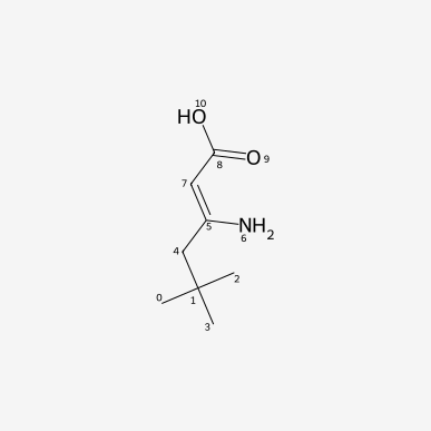 CC(C)(C)CC(N)=CC(=O)O